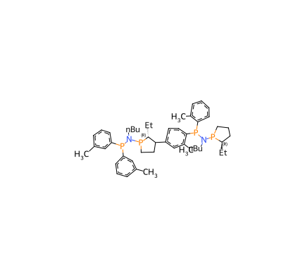 CCCCN(P(c1ccccc1C)c1ccc(C2CCP(N(CCCC)P(c3cccc(C)c3)c3cccc(C)c3)[C@@H]2CC)cc1C)P1CCC[C@H]1CC